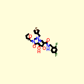 O=C(NCc1ccc(F)cc1F)c1cn2c(c(O)c1=O)C(=O)N(C[C@@H]1CCCO1)CN2Cc1ccsc1